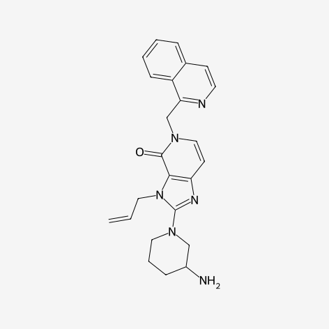 C=CCn1c(N2CCCC(N)C2)nc2ccn(Cc3nccc4ccccc34)c(=O)c21